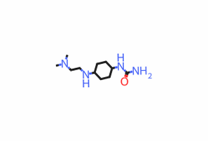 CN(C)CCNC1CCC(NC(N)=O)CC1